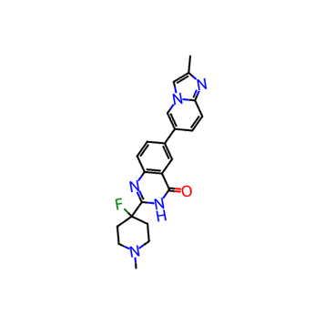 Cc1cn2cc(-c3ccc4nc(C5(F)CCN(C)CC5)[nH]c(=O)c4c3)ccc2n1